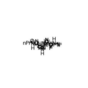 CCCC(=O)Nc1cncc(-c2ccc3[nH]nc(-c4nc5c(-c6cc(F)cc(NCCN(C)C)c6)cncc5[nH]4)c3c2)c1